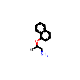 CCC(CN)Oc1cccc2ccccc12